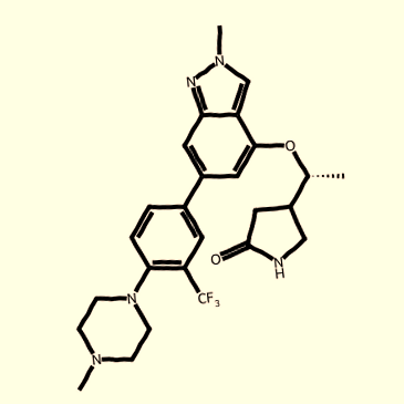 C[C@@H](Oc1cc(-c2ccc(N3CCN(C)CC3)c(C(F)(F)F)c2)cc2nn(C)cc12)C1CNC(=O)C1